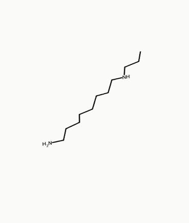 CCCNCCCCCCCCN